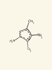 Cc1cc(N)n(C)c1N